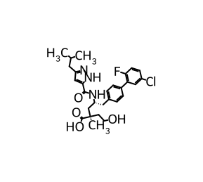 CC(C)Cc1cc(C(=O)N[C@H](Cc2ccc(-c3cc(Cl)ccc3F)cc2)C[C@@](C)(CCO)C(=O)O)[nH]n1